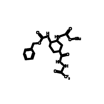 CC(C)(C)OC(=O)NC1CC(C(=O)NNC(=O)C(F)(F)F)CCC1NC(=O)OCc1ccccc1